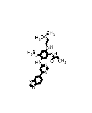 C=CC(=O)Nc1cc(Nc2cc(-c3ccc4ncsc4c3)ncn2)c(OC)cc1NCCN(C)C